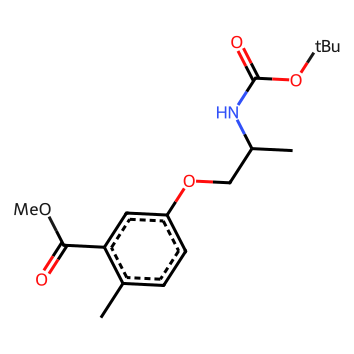 COC(=O)c1cc(OCC(C)NC(=O)OC(C)(C)C)ccc1C